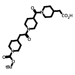 CC(C)(C)OC(=O)N1CCC(CC(=O)N2CCC(C(=O)N3CCC(CC(=O)O)CC3)CC2)CC1